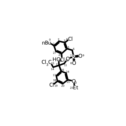 CCCCc1cc(Cl)c(CS(=O)(=O)OCC(O)(CC(Cl)(Cl)Cl)c2cc(Cl)cc(OCC)c2)c(Cl)c1